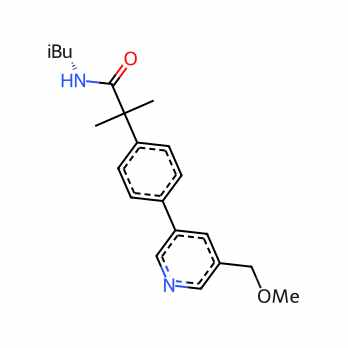 CC[C@@H](C)NC(=O)C(C)(C)c1ccc(-c2cncc(COC)c2)cc1